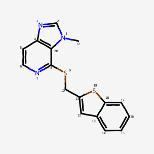 Cn1cnc2ccnc(SCc3cc4ccccc4s3)c21